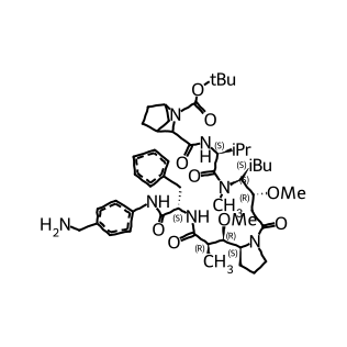 CC[C@H](C)[C@@H]([C@@H](CC(=O)N1CCC[C@H]1[C@H](OC)[C@@H](C)C(=O)N[C@@H](Cc1ccccc1)C(=O)Nc1ccc(CN)cc1)OC)N(C)C(=O)[C@@H](NC(=O)C1C2CCC(C2)N1C(=O)OC(C)(C)C)C(C)C